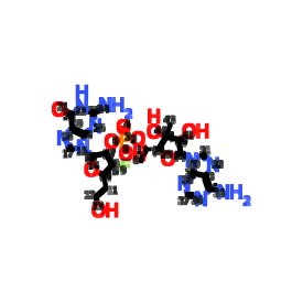 CC(OP(=O)(O)O[C@@H]1[C@H](F)[C@@H](CCO)O[C@H]1n1cnc2c(=O)[nH]c(N)nc21)[C@H]1O[C@@H](n2cnc3c(N)ncnc32)[C@H](O)[C@@]1(C)O